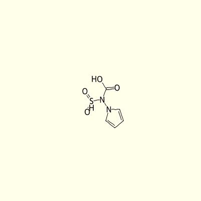 O=C(O)N(n1cccc1)[SH](=O)=O